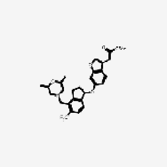 COC(=O)C[C@@H]1COc2cc(O[C@@H]3CCc4c3ccc(C(F)(F)F)c4CN3CC(C)OC(C)C3)ccc21